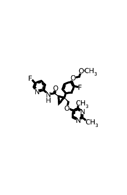 COCOC1=C(F)CC([C@]2(COc3cnc(C)nc3C)C[C@H]2C(=O)Nc2ccc(F)cn2)C=C1